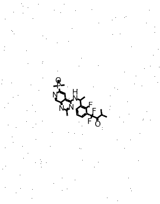 Cc1nc(NC(C)c2cccc(C(F)(F)C(=O)C(C)C)c2F)c2cc(P(C)(C)=O)ncc2n1